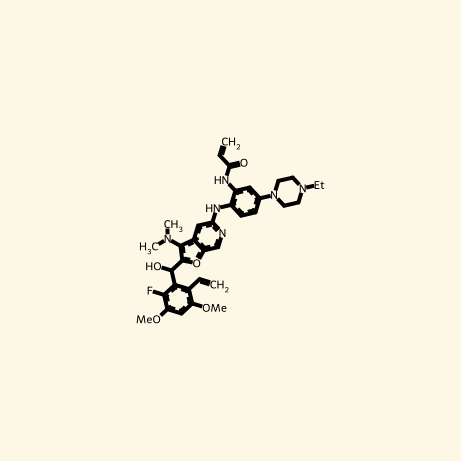 C=CC(=O)Nc1cc(N2CCN(CC)CC2)ccc1Nc1cc2c(N(C)C)c(C(O)c3c(F)c(OC)cc(OC)c3C=C)oc2cn1